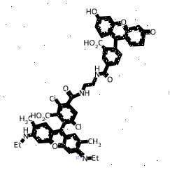 CC/N=c1/cc2oc3cc(NCC)c(C)cc3c(-c3c(Cl)cc(C(=O)NCCNC(=O)c4ccc(-c5c6ccc(=O)cc-6oc6cc(O)ccc56)c(C(=O)O)c4)c(Cl)c3C(=O)O)c-2cc1C